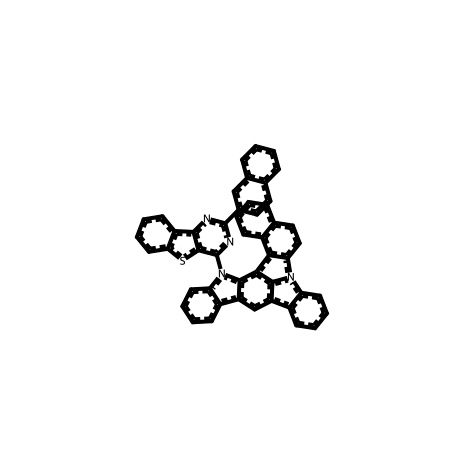 c1ccc2cc(-c3nc(-n4c5ccccc5c5cc6c7ccccc7n7c8ccc9ccccc9c8c(c54)c67)c4sc5ccccc5c4n3)ccc2c1